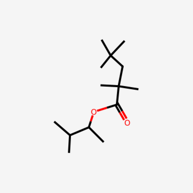 CC(C)C(C)OC(=O)C(C)(C)CC(C)(C)C